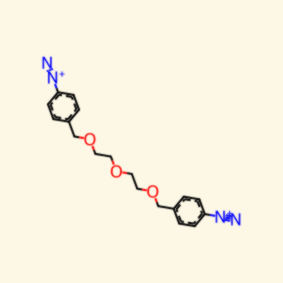 N#[N+]c1ccc(COCCOCCOCc2ccc([N+]#N)cc2)cc1